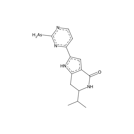 CC(C)C1Cc2[nH]c(-c3ccnc([AsH2])n3)cc2C(=O)N1